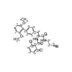 COc1cccc(OC)c1-c1ccc(C[C@H](NC(=O)c2c(Cl)cccc2Cl)C(=O)NCCC#N)cc1